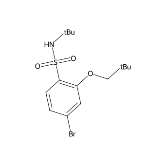 CC(C)(C)COc1cc(Br)ccc1S(=O)(=O)NC(C)(C)C